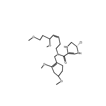 COCCC(/C=C\CCN(CC1=C(OC)CC(OC)CC1)C(=O)C1=CN[C@@H](Cl)CN1)OC